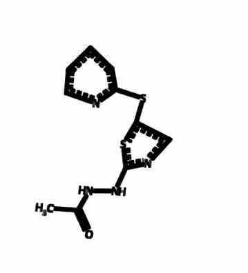 CC(=O)NNc1ncc(Sc2ccccn2)s1